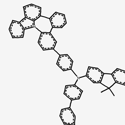 CC1(C)c2ccccc2-c2ccc(N(c3ccc(-c4ccccc4)cc3)c3ccc(-c4ccc5c(c4)-c4ccccc4-c4cccc6c7ccccc7n-5c46)cc3)cc21